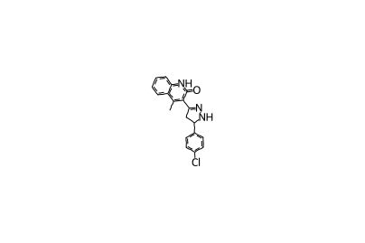 Cc1c(C2=NNC(c3ccc(Cl)cc3)C2)c(=O)[nH]c2ccccc12